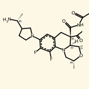 CC(=O)NC(=O)[C@]1(C(C)=O)Cc2cc(N3CCC([C@@H](C)N)C3)c(F)c(F)c2N2C[C@@H](C)O[C@@H](C)[C@@H]21